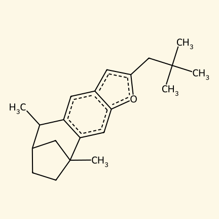 CC1c2cc3cc(CC(C)(C)C)oc3cc2C2(C)CCC1C2